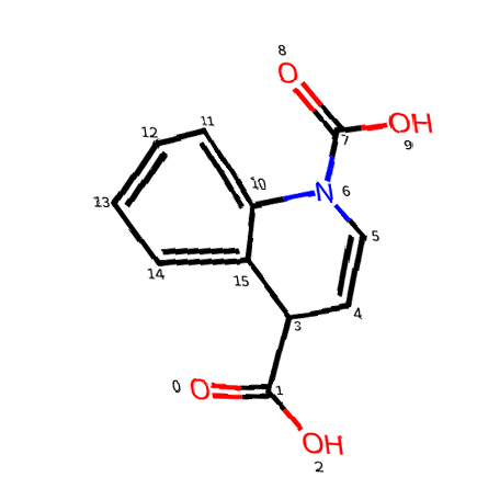 O=C(O)C1C=CN(C(=O)O)c2ccccc21